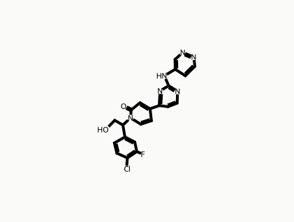 O=c1cc(-c2ccnc(Nc3ccnnc3)n2)ccn1C(CO)c1ccc(Cl)c(F)c1